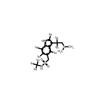 [2H]c1[nH]c2c([2H])c([2H])c(CS(=O)(=O)NC([2H])([2H])[2H])c([2H])c2c1C([2H])([2H])CN(C)C